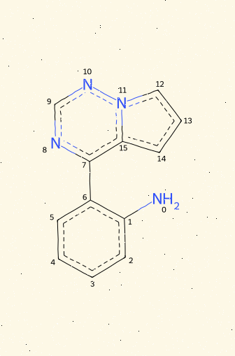 Nc1ccccc1-c1ncnn2cccc12